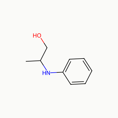 CC(CO)Nc1ccccc1